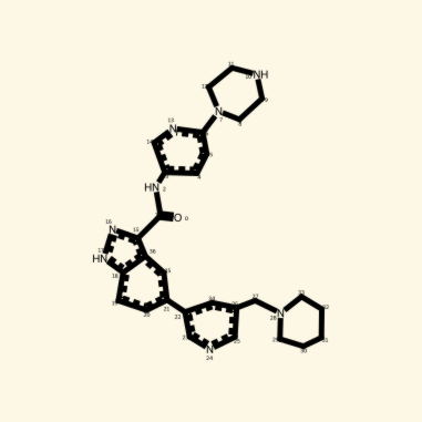 O=C(Nc1ccc(N2CCNCC2)nc1)c1n[nH]c2ccc(-c3cncc(CN4CCCCC4)c3)cc12